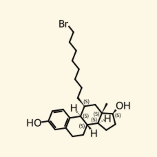 C[C@]12C[C@H](CCCCCCCCBr)[C@@H]3c4ccc(O)cc4CC[C@H]3[C@@H]1CC[C@@H]2O